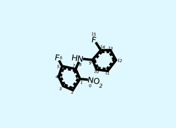 O=[N+]([O-])c1cccc(F)c1Nc1ccccc1F